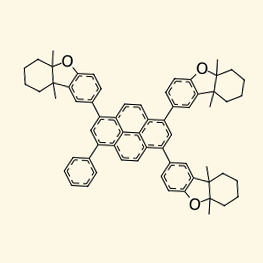 CC12CCCCC1(C)c1cc(-c3cc(-c4ccccc4)c4ccc5c(-c6ccc7c(c6)C6(C)CCCCC6(C)O7)cc(-c6ccc7c(c6)C6(C)CCCCC6(C)O7)c6ccc3c4c56)ccc1O2